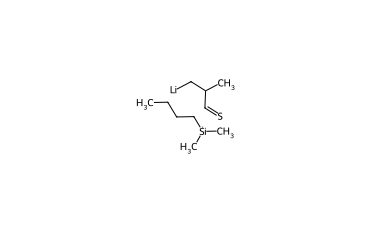 CCCC[Si](C)C.[Li][CH2]C(C)C=S